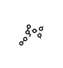 Cc1ccc(N(c2ccc(C)cc2)c2ccc(-n3c4ccccc4c4ccc5c(ccn5-c5ccc(-c6ccccc6)cc5)c43)cc2)cc1